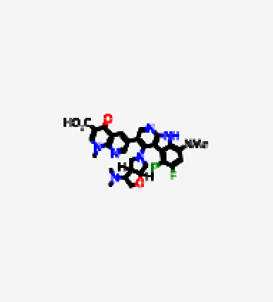 CNc1cc(F)c(F)c2c1[nH]c1ncc(-c3cnc4c(c3)c(=O)c(C(=O)O)cn4C)c(N3C[C@@H]4OCC(N(C)C)[C@@H]4C3)c12